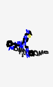 COc1ccc2nc(C(F)(F)F)n(CCN3CCN(Cc4nccs4)C[C@H]3c3nnc(-c4cc5ccccc5nc4OC)[nH]3)c2c1